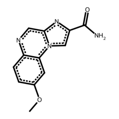 COc1ccc2ncc3nc(C(N)=O)cn3c2c1